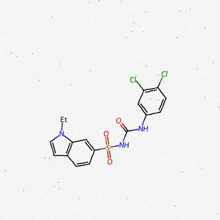 CCn1ccc2ccc(S(=O)(=O)NC(=O)Nc3ccc(Cl)c(Cl)c3)cc21